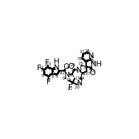 CN(C(=O)c1cc2c(F)cc(F)c(F)c2[nH]1)[C@@H](CC(C)(C)F)C(=O)N1C[C@]2(C[C@H]1C#N)C(=O)Nc1ncccc12